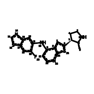 C[C@@H]1NCC[C@H]1c1cc2c(Nc3cc4ncsc4cc3F)ccnc2s1